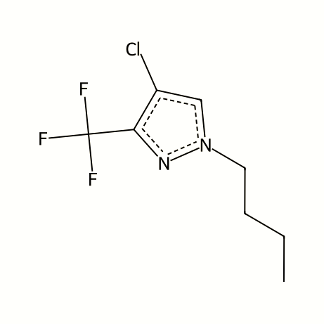 CCCCn1cc(Cl)c(C(F)(F)F)n1